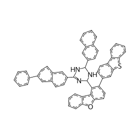 c1ccc(-c2ccc3cc(C4=NC(c5c(-c6ccc7c(c6)sc6ccccc67)ccc6oc7ccccc7c56)NC(c5ccc6ccccc6c5)N4)ccc3c2)cc1